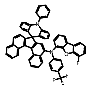 Fc1cccc2c1oc1c(N(c3ccc(C(F)(F)F)cc3)c3cc4c(c5ccccc35)-c3c(ccc5ccccc35)C43c4ccccc4N(c4ccccc4)c4ccccc43)cccc12